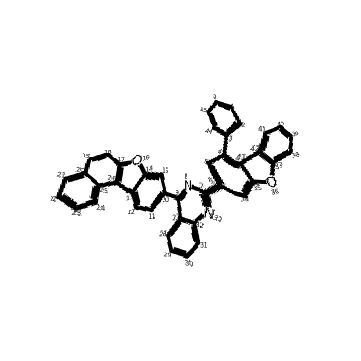 c1ccc(-c2cc(-c3nc(-c4ccc5c(c4)oc4ccc6ccccc6c45)c4ccccc4n3)cc3oc4ccccc4c23)cc1